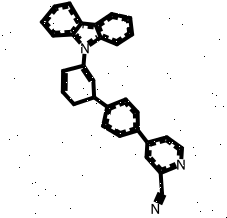 N#Cc1cc(-c2ccc(C3C=C(n4c5ccccc5c5ccccc54)C=CC3)cc2)ccn1